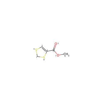 COC(=O)C1=CSCS1